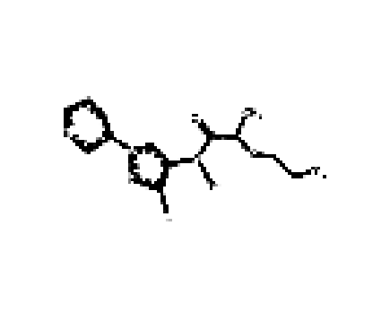 CCN(C(=O)C(C)SCCC(F)(F)F)c1cn(-c2cccnc2)nc1Cl